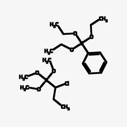 CCC(Cl)[Si](OC)(OC)OC.CCO[Si](OCC)(OCC)c1ccccc1